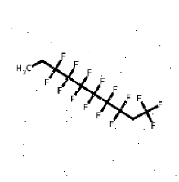 CCC(F)(F)C(F)(F)C(F)(F)C(F)(F)C(F)(F)C(F)(F)CC(F)(F)F